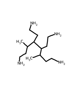 CC(CCN)C(CCN)C(CCN)C(C)CCN